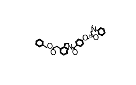 CN1C[C@@H](COc2ccc(C(=O)n3ccc4c(CC(=O)OCc5ccccc5)cccc43)cc2)Oc2ccccc21